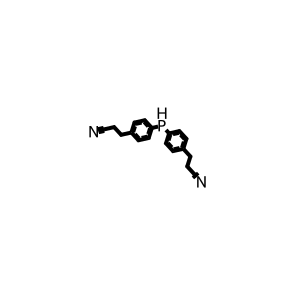 N#CCCc1ccc(Pc2ccc(CCC#N)cc2)cc1